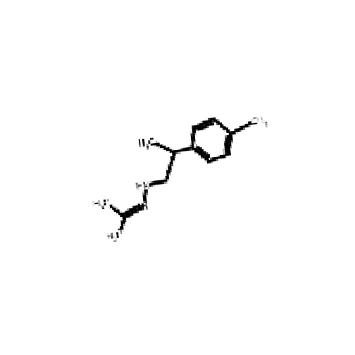 CC(C)=NNCC(C)c1ccc(C)cc1